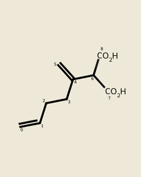 C=CCCC(=C)C(C(=O)O)C(=O)O